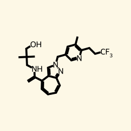 C=C(NCC(C)(C)CO)C1=C=CC=Cc2nn(Cc3cnc(CCC(F)(F)F)c(C)c3)cc21